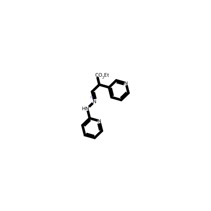 CCOC(=O)C(/C=N/Nc1ccccn1)c1cccnc1